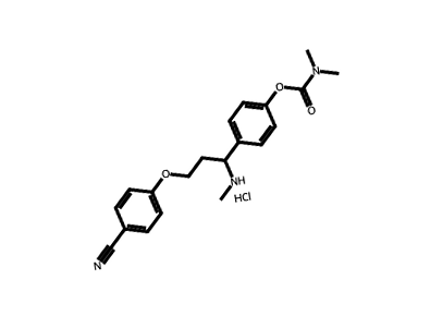 CNC(CCOc1ccc(C#N)cc1)c1ccc(OC(=O)N(C)C)cc1.Cl